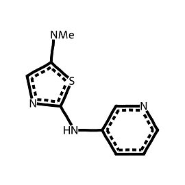 CNc1cnc(Nc2cccnc2)s1